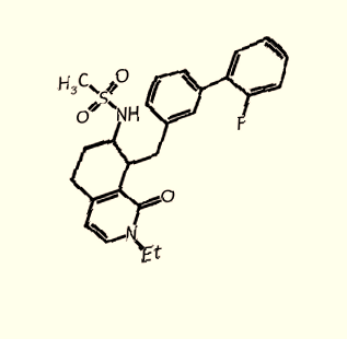 CCn1ccc2c(c1=O)C(Cc1cccc(-c3ccccc3F)c1)C(NS(C)(=O)=O)CC2